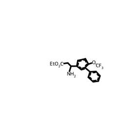 CCOC(=O)CC(N)c1ccc(OC(F)(F)F)c(-c2ccccc2)c1